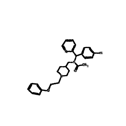 CC(=O)N(CC1CCN(CCOc2ccccc2)CC1)C(c1ccc(Cl)cc1)c1ccccn1